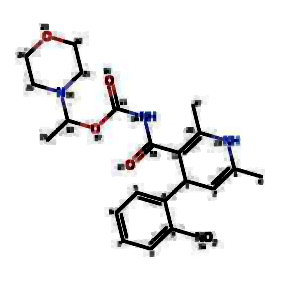 CC1=CC(c2ccccc2[N+](=O)[O-])C(C(=O)NC(=O)OC(C)N2CCOCC2)=C(C)N1